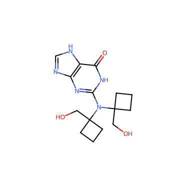 O=c1[nH]c(N(C2(CO)CCC2)C2(CO)CCC2)nc2nc[nH]c12